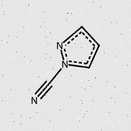 N#Cn1cccn1